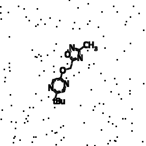 Cc1noc(COc2cnc(C(C)(C)C)cn2)n1